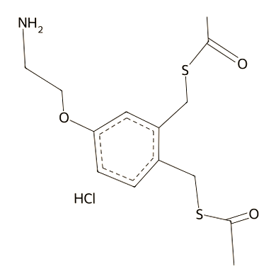 CC(=O)SCc1ccc(OCCN)cc1CSC(C)=O.Cl